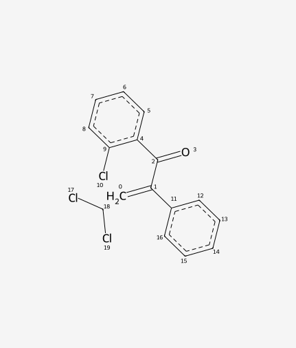 C=C(C(=O)c1ccccc1Cl)c1ccccc1.ClCCl